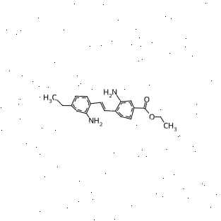 CCOC(=O)c1ccc(/C=C/c2ccc(CC)cc2N)c(N)c1